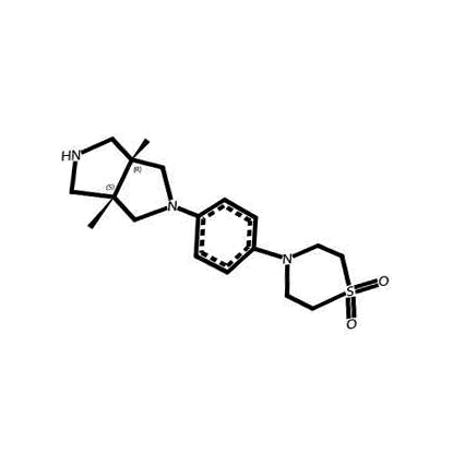 C[C@@]12CNC[C@]1(C)CN(c1ccc(N3CCS(=O)(=O)CC3)cc1)C2